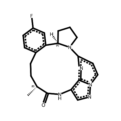 C[C@@H]1CCc2ccc(F)cc2[C@H]2CCCN2c2ccn3ncc(c3n2)NC1=O